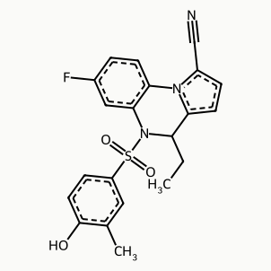 CCC1c2ccc(C#N)n2-c2ccc(F)cc2N1S(=O)(=O)c1ccc(O)c(C)c1